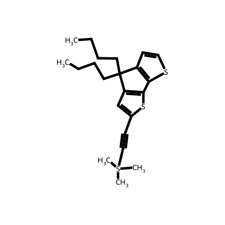 CCCCC1(CCCC)c2ccsc2-c2sc(C#CS(C)(C)C)cc21